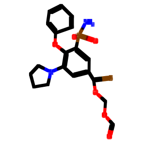 NS(=O)(=O)c1cc(C(=S)OCOC=O)cc(N2CCCC2)c1Oc1ccccc1